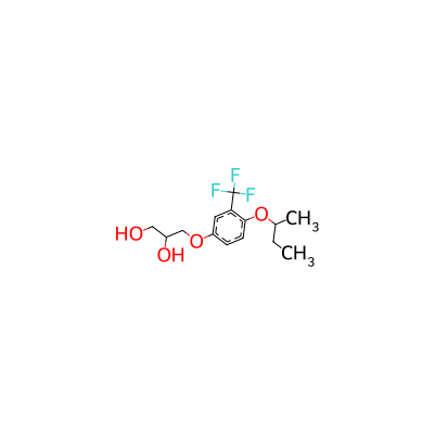 CCC(C)Oc1ccc(OCC(O)CO)cc1C(F)(F)F